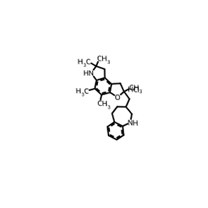 Cc1c(C)c2c(c3c1NC(C)(C)C3)CC(C)(CC1CCc3ccccc3NC1)O2.Cl